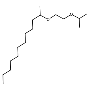 CCCCCCCCCCC(C)OCCOC(C)C